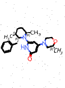 C[C@@H]1CN(c2cc(N3[C@H](C)CC[C@H](C)[C@H]3Cc3ccccc3)[nH]c(=O)c2)CCO1